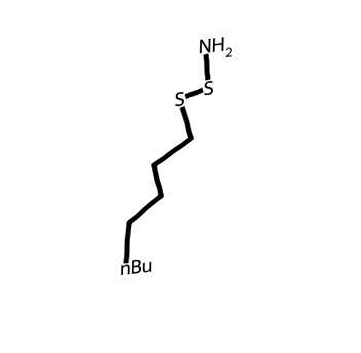 CCCCCCCCSSN